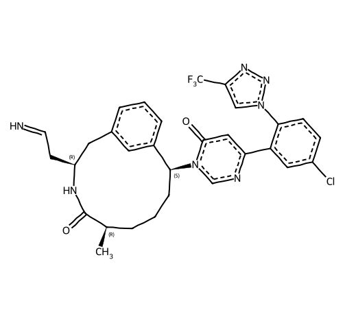 C[C@@H]1CCC[C@H](n2cnc(-c3cc(Cl)ccc3-n3cc(C(F)(F)F)nn3)cc2=O)c2cccc(c2)C[C@H](CC=N)NC1=O